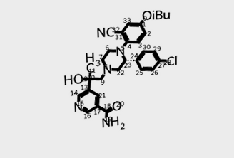 CC(C)COc1ccc(N2CCN(C[C@@](C)(O)c3cncc(C(N)=O)c3)C[C@H]2c2ccc(Cl)cc2)c(C#N)c1